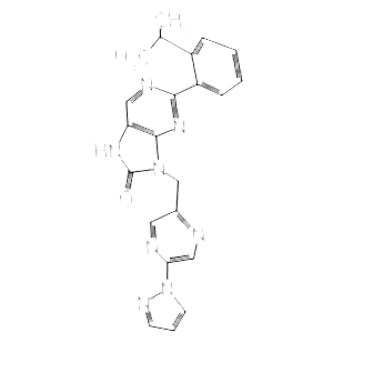 CC(C)c1ccccc1-c1ncc2[nH]c(=O)n(Cc3cnc(-n4cccn4)cn3)c2n1